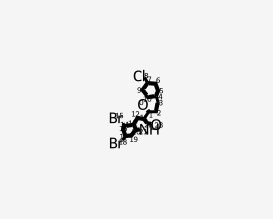 O=C(/C=C\c1ccc(Cl)cc1)c1cc2c(Br)cc(Br)cc2[nH]c1=O